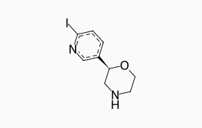 Ic1ccc([C@@H]2CNCCO2)cn1